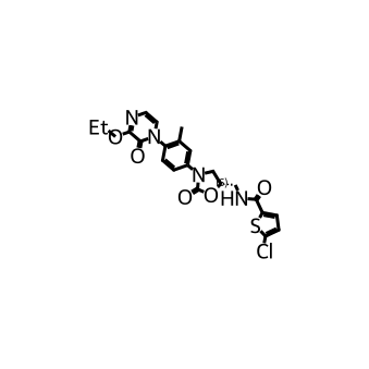 CCOc1nccn(-c2ccc(N3C[C@H](CNC(=O)c4ccc(Cl)s4)OC3=O)cc2C)c1=O